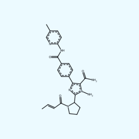 CC=CC(=O)N1CCCC1c1nc(-c2ccc(C(=O)Nc3ccc(C)cn3)cc2)c(C(N)=O)n1N